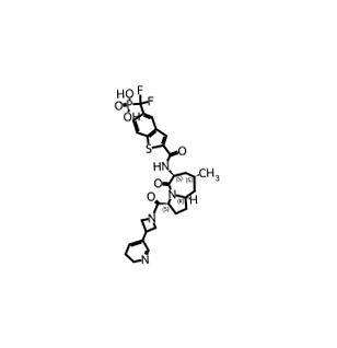 C[C@@H]1C[C@H]2CC[C@@H](C(=O)N3CC(C4=CCCN=C4)C3)N2C(=O)[C@@H](NC(=O)c2cc3cc(C(F)(F)P(=O)(O)O)ccc3s2)C1